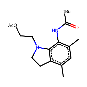 CC(=O)OCCN1CCc2c(C)cc(C)c(NC(=O)C(C)(C)C)c21